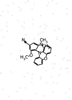 COc1cc(C#N)cc(N(C)C)c1N1c2ccccc2Oc2ccccc21